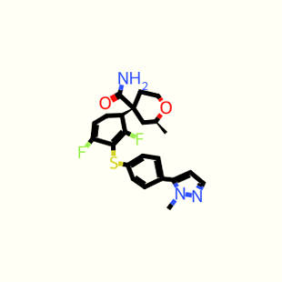 C[C@H]1C[C@@](C(N)=O)(C2CC=C(F)C(Sc3ccc(-c4ccnn4C)cc3)=C2F)CCO1